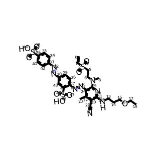 C=CS(=O)(=O)CCN(C)c1nc(NCCCOCC)c(C#N)c(C)c1/N=N/c1ccc(/N=N/c2ccc(S(=O)(=O)O)cc2)cc1S(=O)(=O)O